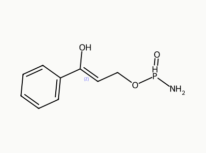 N[PH](=O)OC/C=C(\O)c1ccccc1